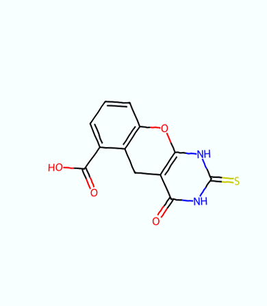 O=C(O)c1cccc2c1Cc1c([nH]c(=S)[nH]c1=O)O2